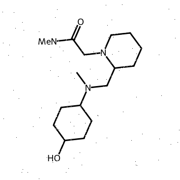 CNC(=O)CN1CCCCC1CN(C)C1CCC(O)CC1